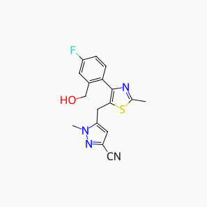 Cc1nc(-c2ccc(F)cc2CO)c(Cc2cc(C#N)nn2C)s1